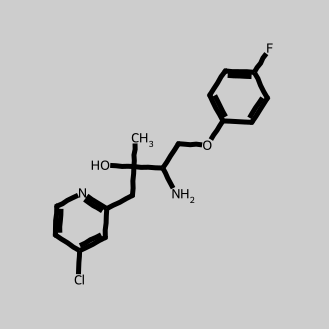 CC(O)(Cc1cc(Cl)ccn1)C(N)COc1ccc(F)cc1